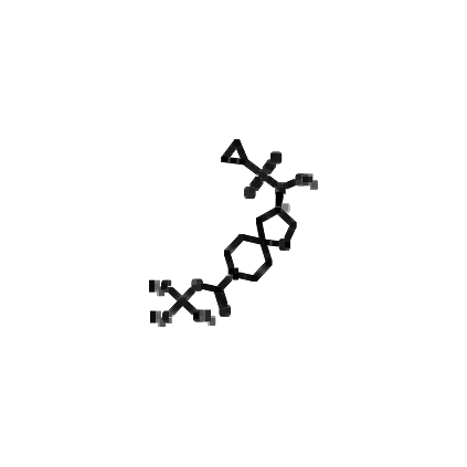 CN([C@H]1COC2(CCN(C(=O)OC(C)(C)C)CC2)C1)S(=O)(=O)C1CC1